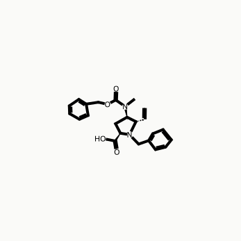 C=C[C@H]1[C@H](N(C)C(=O)OCc2ccccc2)C[C@H](C(=O)O)N1Cc1ccccc1